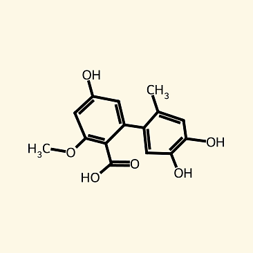 COc1cc(O)cc(-c2cc(O)c(O)cc2C)c1C(=O)O